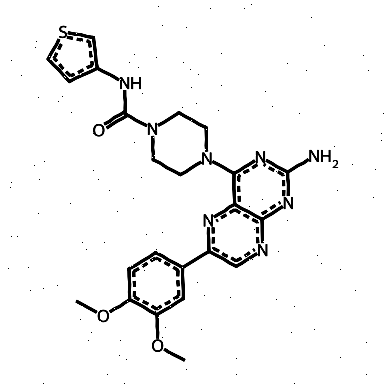 COc1ccc(-c2cnc3nc(N)nc(N4CCN(C(=O)Nc5ccsc5)CC4)c3n2)cc1OC